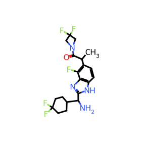 CC(C(=O)N1CC(F)(F)C1)c1ccc2[nH]c(C(N)C3CCC(F)(F)CC3)nc2c1F